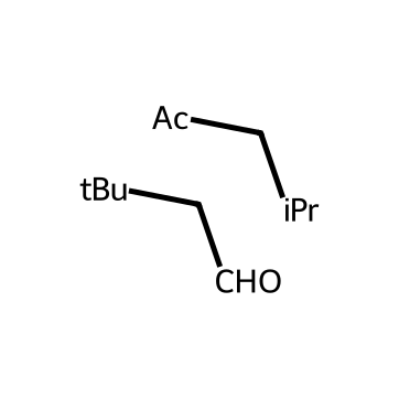 CC(=O)CC(C)C.CC(C)(C)CC=O